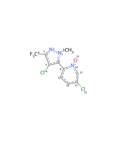 Cn1nc(C(F)(F)F)c(Cl)c1-c1ccc(Cl)c[n+]1[O-]